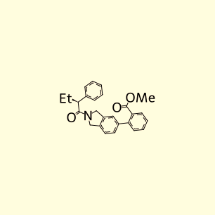 CC[C@H](C(=O)N1Cc2ccc(-c3ccccc3C(=O)OC)cc2C1)c1ccccc1